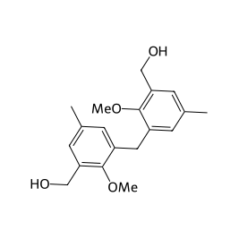 COc1c(CO)cc(C)cc1Cc1cc(C)cc(CO)c1OC